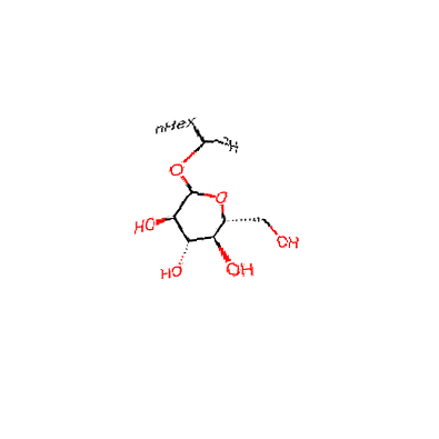 [2H]C(CCCCCC)OC1O[C@H](CO)[C@@H](O)[C@H](O)[C@H]1O